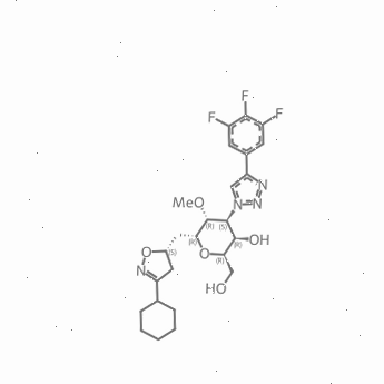 CO[C@@H]1[C@@H](n2cc(-c3cc(F)c(F)c(F)c3)nn2)[C@@H](O)[C@@H](CO)O[C@@H]1C[C@@H]1CC(C2CCCCC2)=NO1